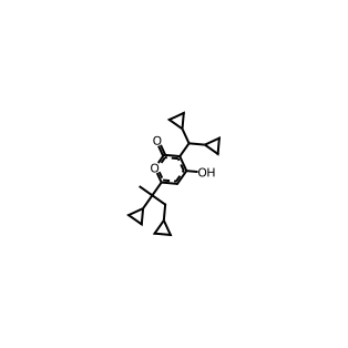 CC(CC1CC1)(c1cc(O)c(C(C2CC2)C2CC2)c(=O)o1)C1CC1